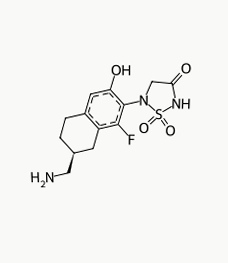 NC[C@H]1CCc2cc(O)c(N3CC(=O)NS3(=O)=O)c(F)c2C1